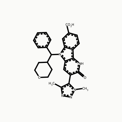 Cc1nnn(C)c1-c1cc2c([nH]c1=O)c1ccc(C(=O)O)cc1n2C(c1ccccc1)C1CCOCC1